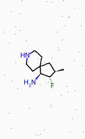 C[C@@H]1CC2(CCNCC2)[C@H](N)[C@H]1F